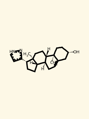 C[C@]12CC[C@H]3[C@@H](CC=C4C[C@@H](O)CC[C@@]43C)[C@@H]1CC[C@@H]2c1cc[nH]n1